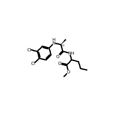 CCCC(NC(=O)[C@H](C)Nc1ccc(Cl)c(Cl)c1)C(=O)OC